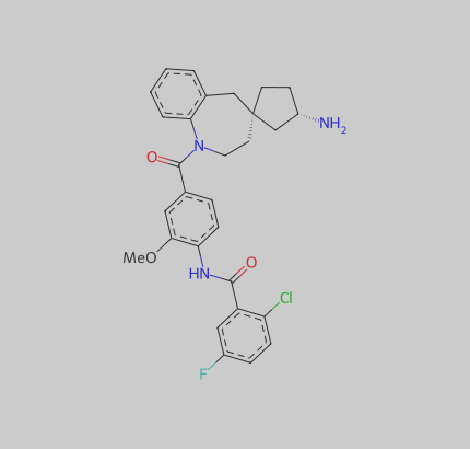 COc1cc(C(=O)N2CC[C@@]3(CC[C@H](N)C3)Cc3ccccc32)ccc1NC(=O)c1cc(F)ccc1Cl